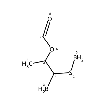 BSC(B)C(C)OC=O